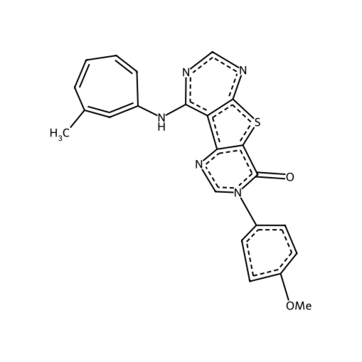 COc1ccc(-n2cnc3c(sc4ncnc(NC5=C=C(C)C=CC=C5)c43)c2=O)cc1